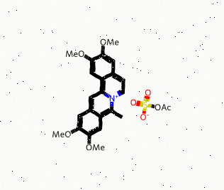 CC(=O)OS(=O)(=O)[O-].COc1cc2cc3c4cc(OC)c(OC)cc4cc[n+]3c(C)c2cc1OC